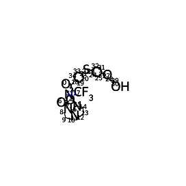 O=C(/C(=N/OC(=O)N1CCCN2CCCN=C21)C(F)(F)F)c1ccc(Sc2ccc(OCCO)cc2)cc1